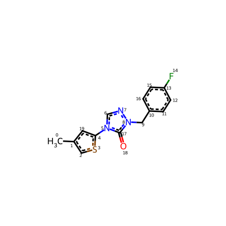 Cc1csc(-n2cnn(Cc3ccc(F)cc3)c2=O)c1